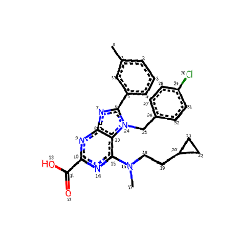 Cc1cccc(-c2nc3nc(C(=O)O)nc(N(C)CCC4CC4)c3n2Cc2ccc(Cl)cc2)c1